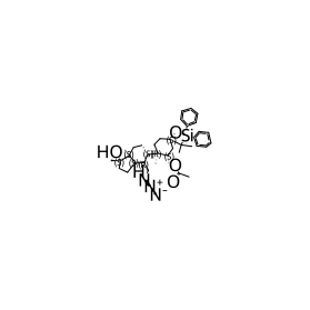 CC(=O)OC[C@H]1C[C@@H](O[Si](c2ccccc2)(c2ccccc2)C(C)(C)C)CC[C@]1(C)[C@H]1CC[C@@]2(C)[C@@H](CC[C@]2(C)O)[C@@H]1CN=[N+]=[N-]